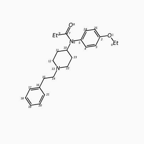 CCOc1ccc(N(C(=O)CC)C2CCN(CCc3ccccc3)CC2)cc1